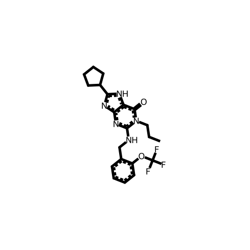 CCCn1c(NCc2ccccc2OC(F)(F)F)nc2nc(C3CCCC3)[nH]c2c1=O